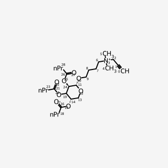 C#CC[N+](C)(C)CCCCO[C@@H]1OC[C@H](OC(=O)CCC)C(OC(=O)CCC)[C@H]1OC(=O)CCC